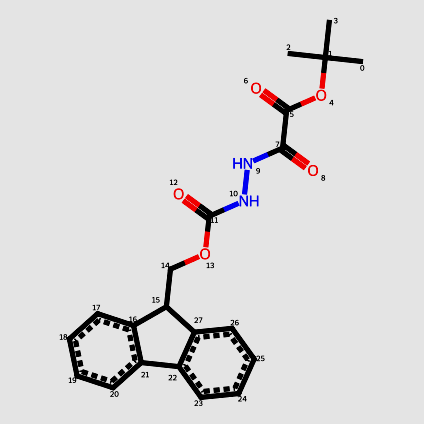 CC(C)(C)OC(=O)C(=O)NNC(=O)OCC1c2ccccc2-c2ccccc21